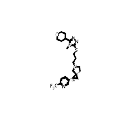 Cn1c(SCCCN2CC[C@@]3(C[C@@H]3c3ccc(C(F)(F)F)nc3)C2)nnc1C1CCOCC1